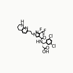 O=C(O)C[C@H](NC(=O)c1cn(CCc2ccc3c(n2)NCCC3)nc1C(F)(F)F)c1cc(Cl)cc(Cl)c1